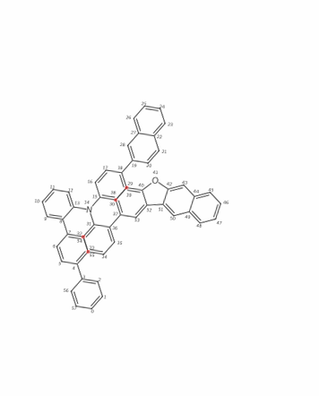 c1ccc(-c2ccc(-c3ccccc3N(c3ccc(-c4ccc5ccccc5c4)cc3)c3ccccc3-c3ccc4oc5cc6ccccc6cc5c4c3)cc2)cc1